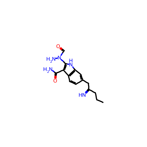 CCCC(=N)Cc1ccc2c(C(N)=O)c(N(N)C=O)[nH]c2c1